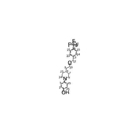 Oc1ccc(N2CCC(CCOCc3ccc(C(F)(F)F)cc3)CC2)cc1